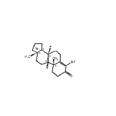 C[C@@]12CCC[C@H]1[C@@H]1CCC3=C(O)C(=O)CC[C@]3(C)[C@@H]1CC2